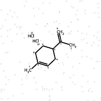 C=C(C)C1CC=C(C)CC1.Cl.Cl